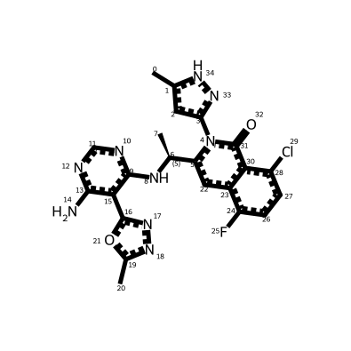 Cc1cc(-n2c([C@H](C)Nc3ncnc(N)c3-c3nnc(C)o3)cc3c(F)ccc(Cl)c3c2=O)n[nH]1